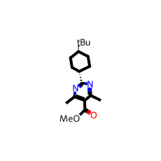 COC(=O)c1c(C)nc([C@H]2CC[C@@H](C(C)(C)C)CC2)nc1C